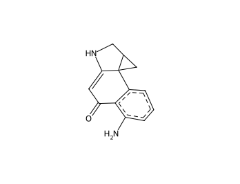 Nc1cccc2c1C(=O)C=C1NCC3CC123